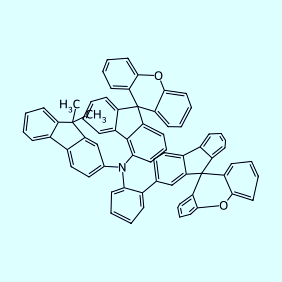 CC1(C)c2ccccc2-c2ccc(N(c3ccccc3-c3ccc4c(c3)C3(c5ccccc5Oc5ccccc53)c3ccccc3-4)c3cccc4c3-c3ccccc3C43c4ccccc4Oc4ccccc43)cc21